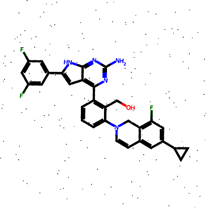 Nc1nc(-c2cccc(N3C=Cc4cc(C5CC5)cc(F)c4C3)c2CO)c2cc(-c3cc(F)cc(F)c3)[nH]c2n1